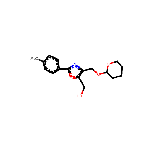 COc1ccc(-c2nc(COC3CCCCO3)c(CO)o2)cc1